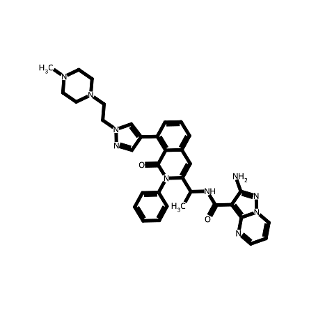 CC(NC(=O)c1c(N)nn2cccnc12)c1cc2cccc(-c3cnn(CCN4CCN(C)CC4)c3)c2c(=O)n1-c1ccccc1